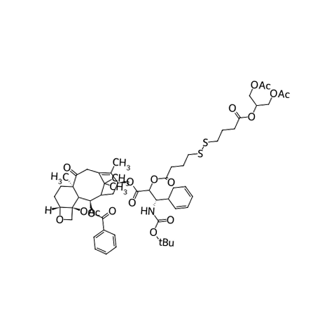 CC(=O)OCC(COC(C)=O)OC(=O)CCCSSCCCC(=O)OC(C(=O)O[C@H]1CC2[C@@H](OC(=O)c3ccccc3)C3[C@@](C)(CC[C@H]4OC[C@@]34OC(C)=O)C(=O)CC(=C1C)C2(C)C)[C@@H](NC(=O)OC(C)(C)C)C1C=CC=CC1